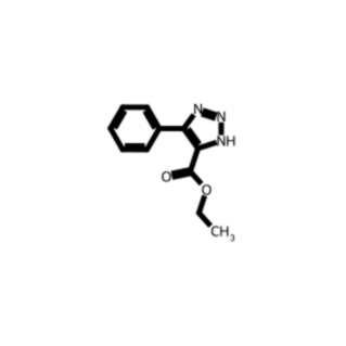 CCOC(=O)c1[nH]nnc1-c1ccccc1